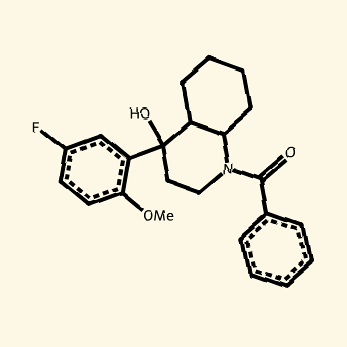 COc1ccc(F)cc1C1(O)CCN(C(=O)c2ccccc2)C2CCCCC21